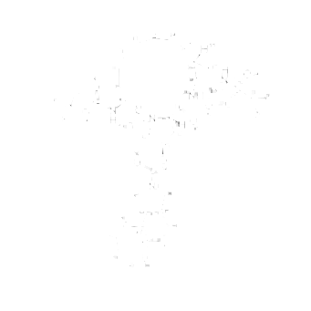 CC(C)(C)OC(=O)N[C@H]1CCCCC/C=C\[C@@H]2C[C@@]2(C(=O)NS(=O)(=O)C2CC2)NC(=O)[C@@H]2C[C@@H](OC(=O)N3Cc4ccc5c(c4C3)OCCCO5)CN2C1=O